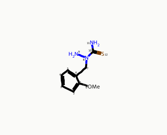 COc1ccccc1CN(N)C(N)=S